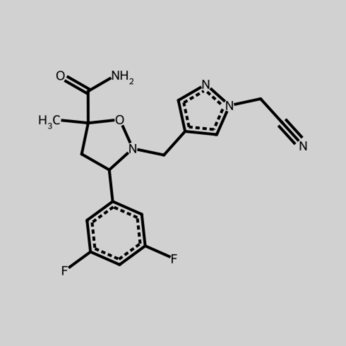 CC1(C(N)=O)CC(c2cc(F)cc(F)c2)N(Cc2cnn(CC#N)c2)O1